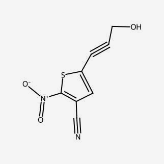 N#Cc1cc(C#CCO)sc1[N+](=O)[O-]